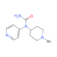 CC(=O)N1CCC(N(C(N)=O)c2ccncc2)CC1